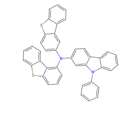 c1ccc(-n2c3ccccc3c3ccc(N(c4ccc5sc6ccccc6c5c4)c4cccc5sc6ccccc6c45)cc32)cc1